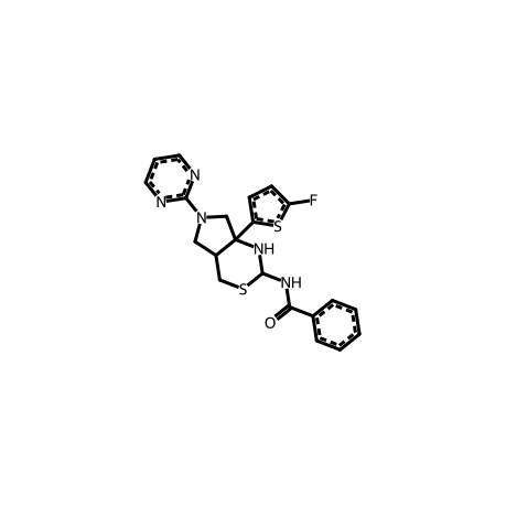 O=C(NC1NC2(c3ccc(F)s3)CN(c3ncccn3)CC2CS1)c1ccccc1